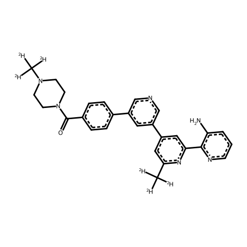 [2H]C([2H])([2H])c1cc(-c2cncc(-c3ccc(C(=O)N4CCN(C([2H])([2H])[2H])CC4)cc3)c2)cc(-c2ncccc2N)n1